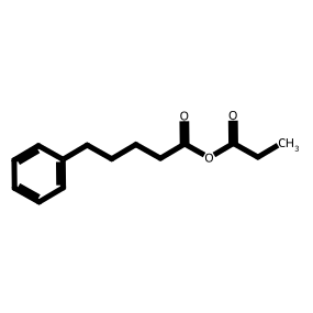 CCC(=O)OC(=O)CCCCc1ccccc1